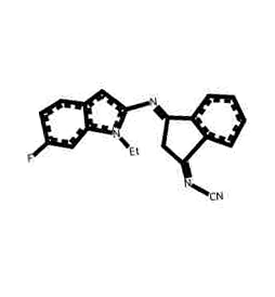 CCn1c(/N=C2\C/C(=N/C#N)c3ccccc32)cc2ccc(F)cc21